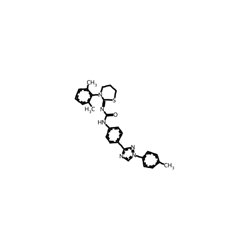 Cc1ccc(-n2cnc(-c3ccc(NC(=O)/N=C4\SCCCN4c4c(C)cccc4C)cc3)n2)cc1